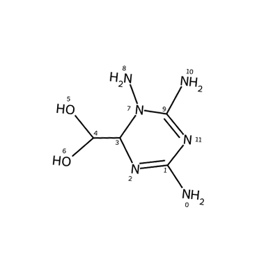 NC1=NC(C(O)O)N(N)C(N)=N1